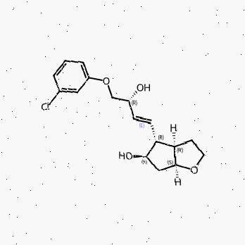 O[C@H](/C=C/[C@@H]1[C@H]2CCO[C@H]2C[C@H]1O)COc1cccc(Cl)c1